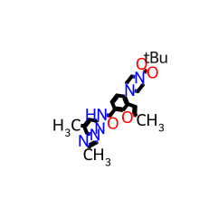 Cc1cn2nc(NC(=O)c3ccc(N4CCN(C(=O)OC(C)(C)C)CC4)c4cc(C)oc34)cc(C)c2n1